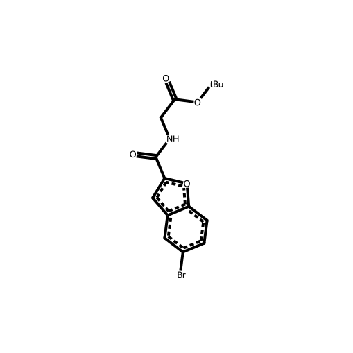 CC(C)(C)OC(=O)CNC(=O)c1cc2cc(Br)ccc2o1